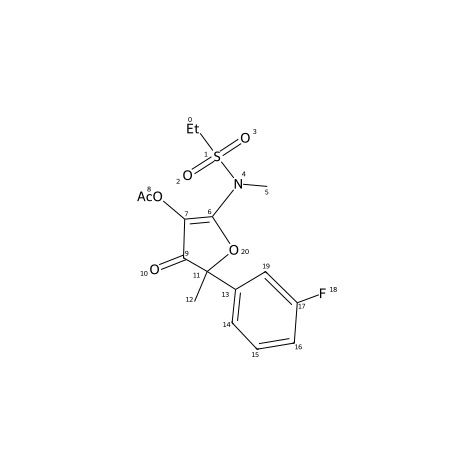 CCS(=O)(=O)N(C)C1=C(OC(C)=O)C(=O)C(C)(c2cccc(F)c2)O1